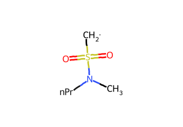 [CH2]S(=O)(=O)N(C)CCC